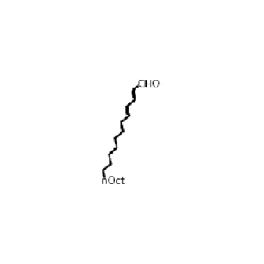 CCCCCCCCCCCCCCCC=CC=C[C]=O